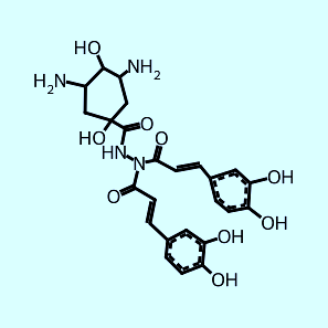 NC1CC(O)(C(=O)NN(C(=O)C=Cc2ccc(O)c(O)c2)C(=O)C=Cc2ccc(O)c(O)c2)CC(N)C1O